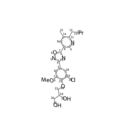 COc1cc(-c2noc(-c3cnc(CC(C)C)c(C)c3)n2)cc(Cl)c1OCC(O)CO